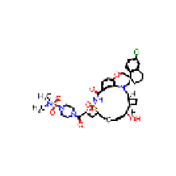 CN(C)S(=O)(=O)N1CCN(C(=O)CCC2CC/C=C/[C@H](O)[C@@H]3CC[C@H]3CN3C[C@@]4(CCCc5cc(Cl)ccc54)COc4ccc(cc43)C(=O)NS2(=O)=O)CC1